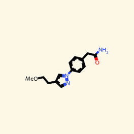 COCCc1cnn(-c2ccc(CC(N)=O)cc2)c1